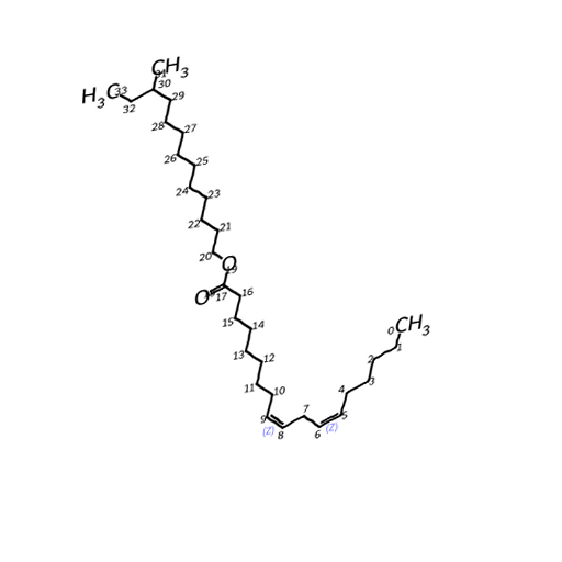 CCCCC/C=C\C/C=C\CCCCCCCC(=O)OCCCCCCCCCCC(C)CC